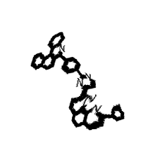 C1=CC2C=Cc3ccc(-c4ccnc(-c5ccc(-c6nc7ccccc7c7c6ccc6ccccc67)cc5)n4)nc3C2N=C1c1ccccc1